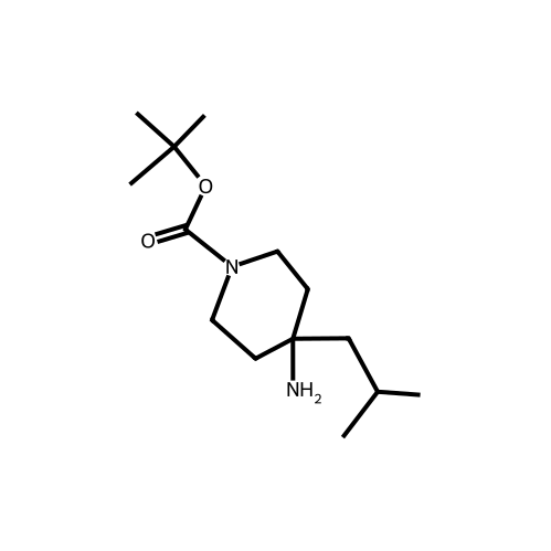 CC(C)CC1(N)CCN(C(=O)OC(C)(C)C)CC1